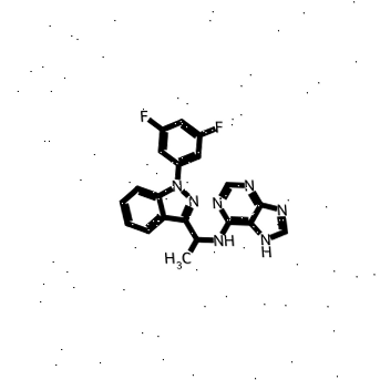 CC(Nc1ncnc2nc[nH]c12)c1nn(-c2cc(F)cc(F)c2)c2ccccc12